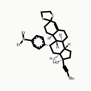 CCN(CC)c1ccc([C@H]2C[C@@]3(C)[C@@H](CC[C@@]3(O)C#CC(C)(C)C)[C@@H]3CCC4=CC5(CC[C@@H]4[C@H]32)SCCS5)cc1